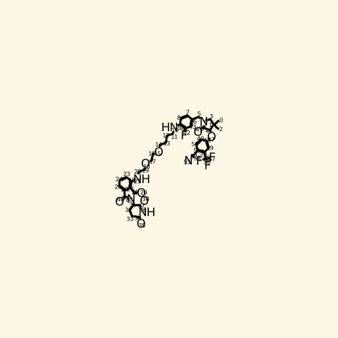 CC1(C)CN(Cc2ccc(NCCCCOCCOCCNc3cccc4c3C(=O)N(C3CCC(=O)NC3=O)C4=O)c(F)c2)C(=O)C1Oc1ccc(C#N)c(C(F)(F)F)c1